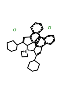 C1=C(C2CCCCC2)[CH]([Hf+2]2([CH]3C(C4CCCCC4)=Cc4c3ccc3ccccc43)[CH2]C[CH2]2)c2ccc3ccccc3c21.[Cl-].[Cl-]